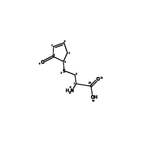 NC(CSC1CC=CC1=O)C(=O)O